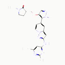 Cc1cc(Nc2cc3cc(-c4c(OC[C@@H]5CCN(C)C5=O)cnn4C)ccn3n2)nc(C)n1